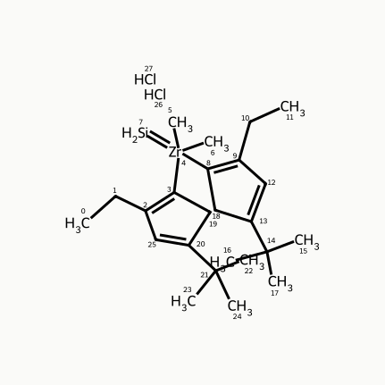 CCC1=[C]([Zr]([CH3])([CH3])(=[SiH2])[C]2=C(CC)C=C(C(C)(C)C)C2)CC(C(C)(C)C)=C1.Cl.Cl